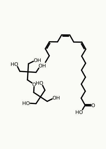 CC/C=C\C/C=C\C/C=C\CCCCCCCC(=O)O.OCC(CO)(CO)COCC(CO)(CO)CO